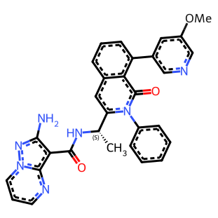 COc1cncc(-c2cccc3cc([C@H](C)NC(=O)c4c(N)nn5cccnc45)n(-c4ccccc4)c(=O)c23)c1